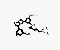 COc1cc(NC(=O)/C=C/CN(C)C)cc(-c2cnc3[nH]cc(-c4cccc(C#N)c4)c3c2)c1